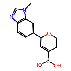 Cn1cnc2ccc(C3C=C(B(O)O)CCO3)cc21